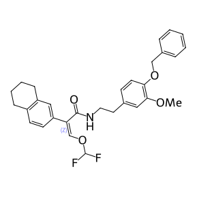 COc1cc(CCNC(=O)/C(=C\OC(F)F)c2ccc3c(c2)CCCC3)ccc1OCc1ccccc1